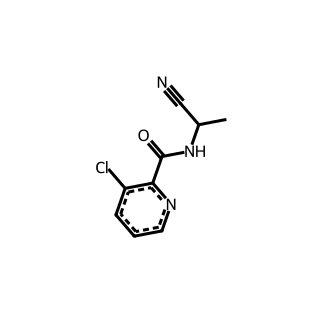 CC(C#N)NC(=O)c1ncccc1Cl